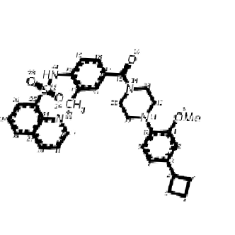 COc1cc(C2CCC2)ccc1N1CCN(C(=O)c2ccc(NS(=O)(=O)c3cccc4cccnc34)c(C)c2)CC1